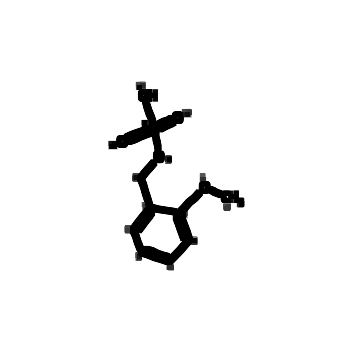 COc1ccccc1COS(=O)(=O)O